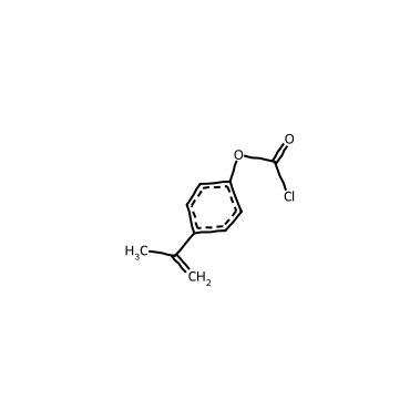 C=C(C)c1ccc(OC(=O)Cl)cc1